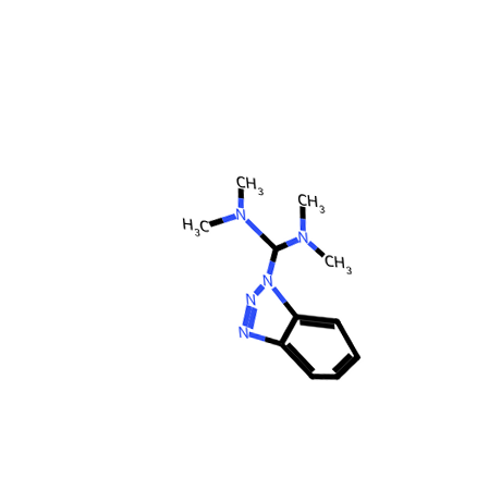 CN(C)C(N(C)C)n1nnc2ccccc21